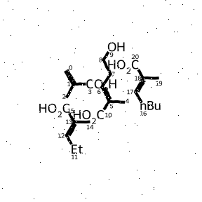 C=C(C)C(=O)O.CC(=CCCO)C(=O)O.CCC=C(C)C(=O)O.CCCCC=C(C)C(=O)O